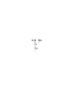 N.[Cr].[Cu].[Mn]